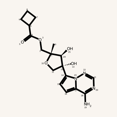 C[C@]1(COC(=O)C2CCC2)OC[C@](O)(c2ccc3c(N)ncnn23)[C@@H]1O